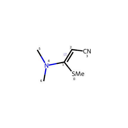 CS/C(=C\C#N)N(C)C